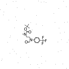 CN(CCN(C=O)c1ccc(C(F)(F)F)cc1)C(=O)OC(C)(C)C